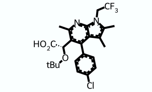 Cc1nc2c(c(C)c(C)n2CC(F)(F)F)c(-c2ccc(Cl)cc2)c1[C@H](OC(C)(C)C)C(=O)O